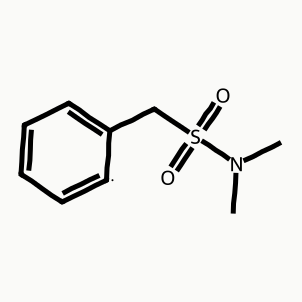 CN(C)S(=O)(=O)Cc1[c]cccc1